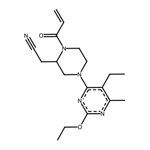 C=CC(=O)N1CCN(c2nc(OCC)nc(C)c2CC)CC1CC#N